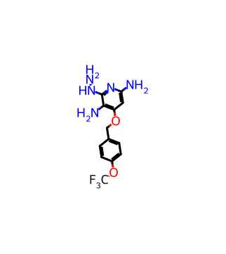 NNc1nc(N)cc(OCc2ccc(OC(F)(F)F)cc2)c1N